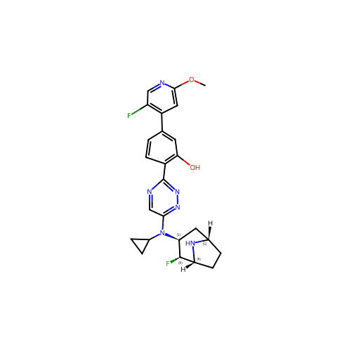 COc1cc(-c2ccc(-c3ncc(N(C4CC4)[C@H]4C[C@@H]5CC[C@@H](N5)[C@H]4F)nn3)c(O)c2)c(F)cn1